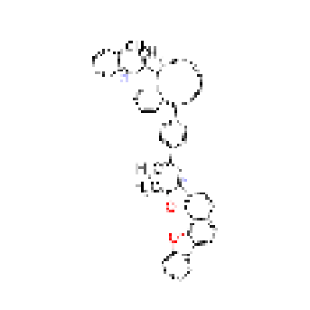 C=C(/C=c1\c(=C)oc2c1ccc1ccc3c4ccccc4oc3c12)c1ccc(-c2ccccccc(C(=C)/C=c3/ccccc3=C)c3ccccc23)cc1